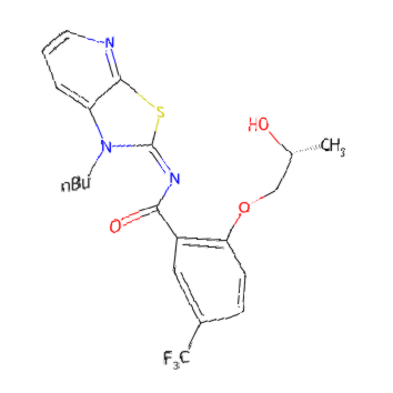 CCCCn1c(=NC(=O)c2cc(C(F)(F)F)ccc2OC[C@@H](C)O)sc2ncccc21